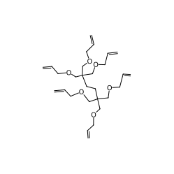 C=CCOCC(CCC(COCC=C)(COCC=C)COCC=C)(COCC=C)COCC=C